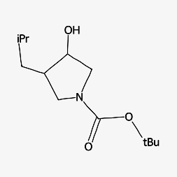 CC(C)CC1CN(C(=O)OC(C)(C)C)CC1O